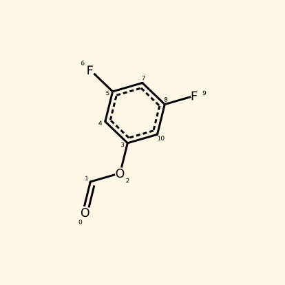 O=COc1cc(F)cc(F)c1